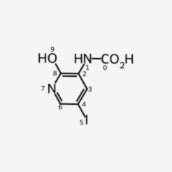 O=C(O)Nc1cc(I)cnc1O